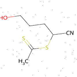 CC(=S)SC(C#N)CCCO